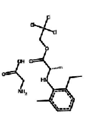 CCc1cccc(C)c1N[C@@H](C)C(=O)OCC(Cl)(Cl)Cl.NCC(=O)O